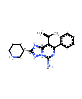 C=C(C)c1c(-c2ccccc2)nc(N)n2nc([C@@H]3CCCNC3)nc12